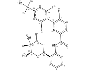 C[C@H]1C[C@@H](c2ccncc2NC(=O)c2ccc(F)c(-c3c(F)cc(C(C)(C)O)cc3F)n2)C[C@@H](O)[C@]1(C)O